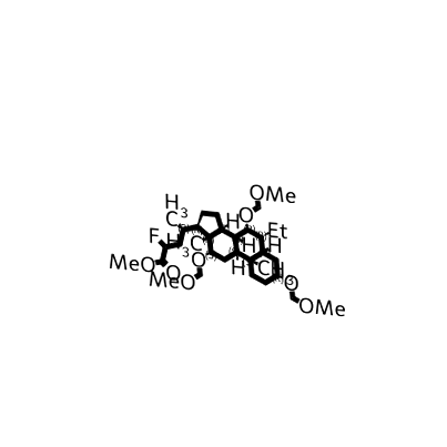 CC[C@H]1[C@@H](OCOC)[C@@H]2[C@H](C[C@H](OCOC)[C@]3(C)[C@@H]([C@H](C)CC(F)C(=O)OC)CC[C@@H]23)[C@@]2(C)CC[C@@H](OCOC)C[C@@H]12